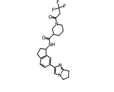 O=C(NC1CCc2ccc(-c3cn4c(n3)CCC4)cc21)C1CCCN(C(=O)CC(F)(F)F)C1